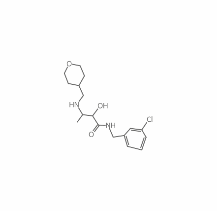 CC(NCC1CCOCC1)C(O)C(=O)NCc1cccc(Cl)c1